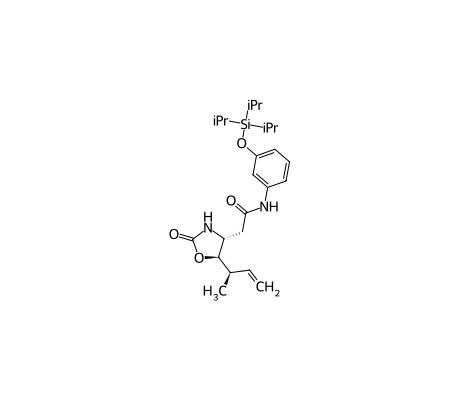 C=C[C@@H](C)[C@H]1OC(=O)N[C@@H]1CC(=O)Nc1cccc(O[Si](C(C)C)(C(C)C)C(C)C)c1